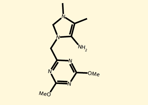 COc1nc(CN2CN(C)C(C)=C2N)nc(OC)n1